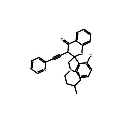 CC1CCN(CC2(c3ccccc3Cl)Oc3ccccc3C(=O)C2C#Cc2ccccn2)CC1